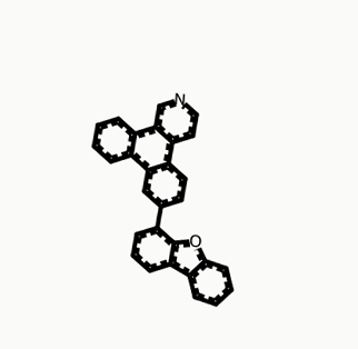 c1ccc2c(c1)oc1c(-c3ccc4c5ccncc5c5ccccc5c4c3)cccc12